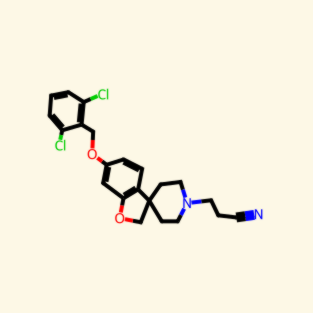 N#CCCN1CCC2(CC1)COc1cc(OCc3c(Cl)cccc3Cl)ccc12